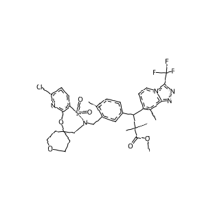 COC(=O)C(C)(C)C(c1ccc(C)c(CN2CC3(CCOCC3)Oc3nc(Cl)ccc3S2(=O)=O)c1)c1ccn2c(C(F)(F)F)nnc2c1C